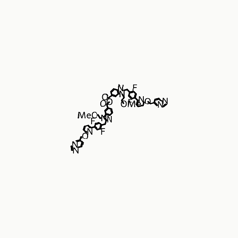 COCCn1c(Cc2cc(F)c(-c3cccc(OCc4ccc5nccn5c4)n3)cc2F)nc2ccc(C(=O)OC(=O)c3ccc4nc(Cc5cc(F)c(-c6cccc(OCc7ccc8nccn8c7)n6)cc5F)n(CCOC)c4c3)cc21